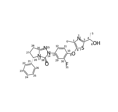 Cc1nc([C@H](C)O)sc1Oc1ccc(-n2nc3n(c2=O)[C@H](c2ccccc2)CC3)cc1F